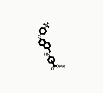 COC(=O)C12CCC(NCc3ccc4cc(O[C@H]5CC[C@H]([Si](C)(C)C)CC5)ccc4c3)(CC1)CC2